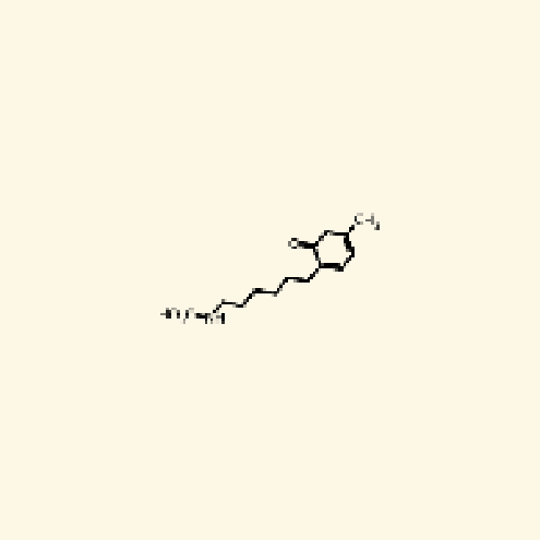 CC1=CC=C(CCCCCCNC(=O)O)C(=O)C1